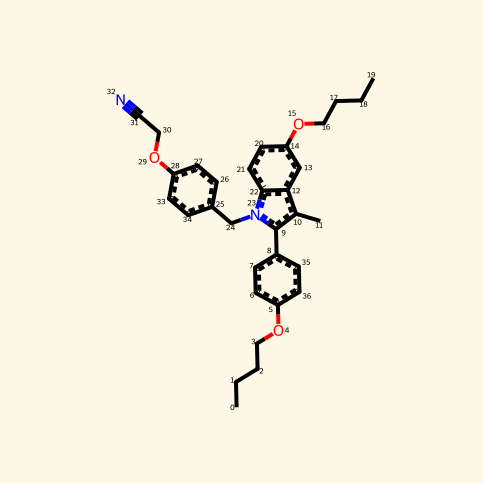 CCCCOc1ccc(-c2c(C)c3cc(OCCCC)ccc3n2Cc2ccc(OCC#N)cc2)cc1